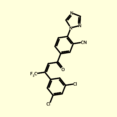 N#Cc1cc(C(=O)C=C(c2cc(Cl)cc(Cl)c2)C(F)(F)F)ccc1-n1cncn1